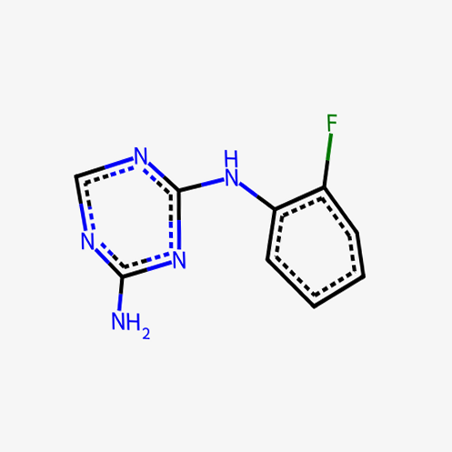 Nc1ncnc(Nc2ccccc2F)n1